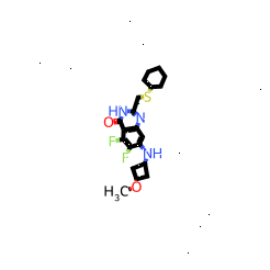 COC1CC(Nc2cc3nc(CSC4CCCCC4)[nH]c(=O)c3c(F)c2F)C1